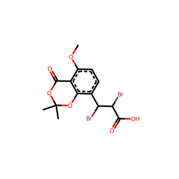 COc1ccc(C(Br)C(Br)C(=O)O)c2c1C(=O)OC(C)(C)O2